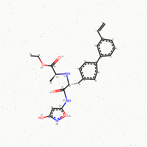 C=Cc1cccc(-c2ccc(C[C@@H](N[C@@H](C)C(=O)OCC)C(=O)Nc3cc(O)no3)cc2)c1